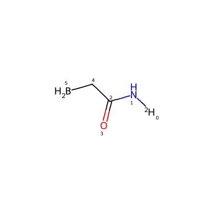 [2H]NC(=O)CB